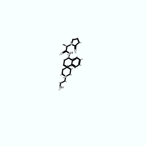 C[C@H](C(=O)N[C@@H]1CCC2(CCN(CCC(C)(C)C)CC2)c2ccccc21)N1CCCC1=O